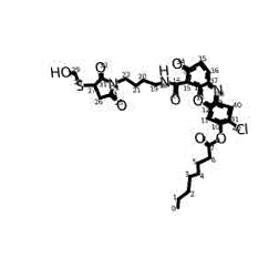 CCCCCCCC(=O)Oc1cc2oc3c(C(=O)NCCCCN4C(=O)CC(SCO)C4=O)c(=O)ccc-3nc2cc1Cl